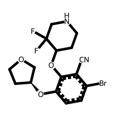 N#Cc1c(Br)ccc(O[C@H]2CCOC2)c1OC1CCNCC1(F)F